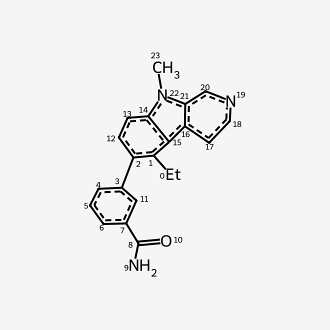 CCc1c(-c2cccc(C(N)=O)c2)ccc2c1c1ccncc1n2C